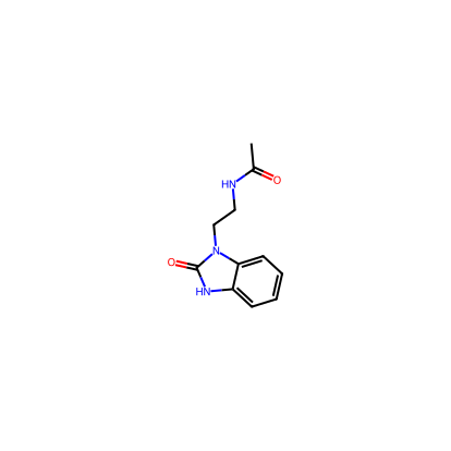 CC(=O)NCCn1c(=O)[nH]c2ccccc21